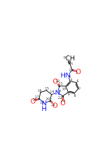 C#CC(=O)Nc1cccc2c1C(=O)N(C1CCC(=O)NC1=O)C2=O